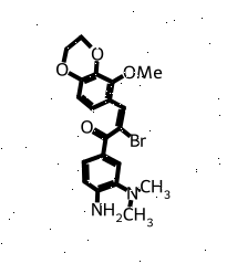 COc1c(/C=C(/Br)C(=O)c2ccc(N)c(N(C)C)c2)ccc2c1OCCO2